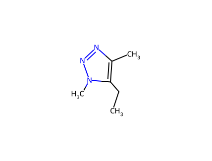 CCc1c(C)nnn1C